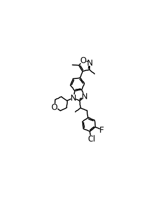 Cc1noc(C)c1-c1ccc2c(c1)nc(C(C)Cc1ccc(Cl)c(F)c1)n2C1CCOCC1